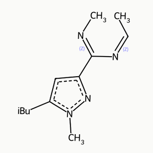 C/C=N\C(=N/C)c1cc(C(C)CC)n(C)n1